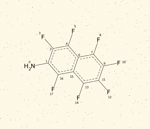 Nc1c(F)c(F)c2c(F)c(F)c(F)c(F)c2c1F